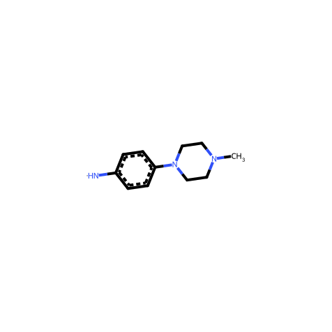 CN1CCN(c2ccc([NH])cc2)CC1